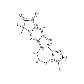 CCN1C(=O)C(C)(C)c2cc3c4c([nH]c3cc21)-c1n[nH]c(C)c1CCC4